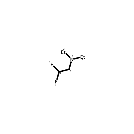 CCN(CC)CC(F)F